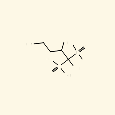 NCCC(S)C(O)(P(=O)(O)O)P(=O)(O)O